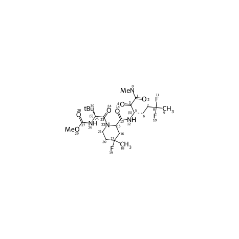 CNC(=O)C(=O)[C@H](CCC(C)(F)F)NC(=O)C1CC(C)(F)CCN1C(=O)[C@@H](NC(=O)OC)C(C)(C)C